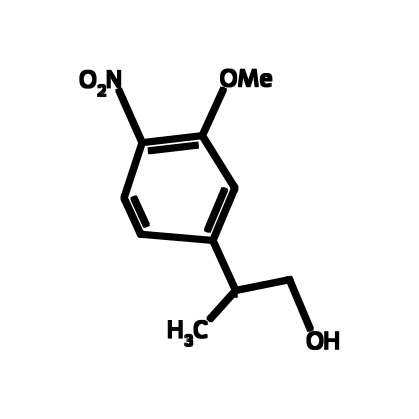 COc1cc([C](C)CO)ccc1[N+](=O)[O-]